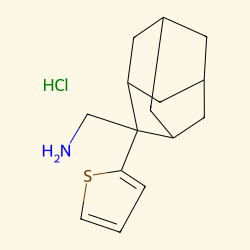 Cl.NCC1(c2cccs2)C2CC3CC(C2)CC1C3